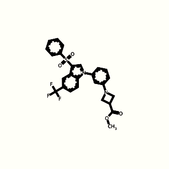 COC(=O)C1CN(c2cccc(-n3cc(S(=O)(=O)c4ccccc4)c4cc(C(F)(F)F)ccc43)c2)C1